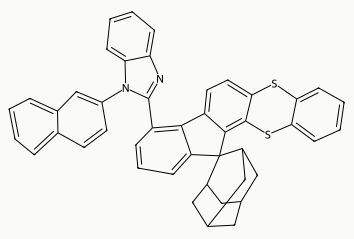 c1ccc2c(c1)Sc1ccc3c(c1S2)C1(c2cccc(-c4nc5ccccc5n4-c4ccc5ccccc5c4)c2-3)C2CC3CC(C2)CC1C3